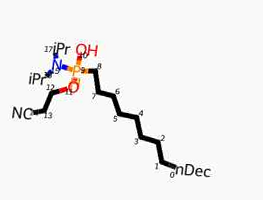 CCCCCCCCCCCCCCCCCC[PH](O)(OCCC#N)N(C(C)C)C(C)C